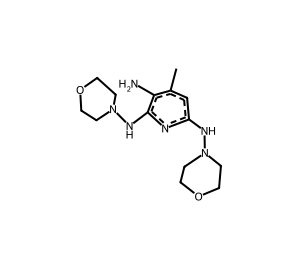 Cc1cc(NN2CCOCC2)nc(NN2CCOCC2)c1N